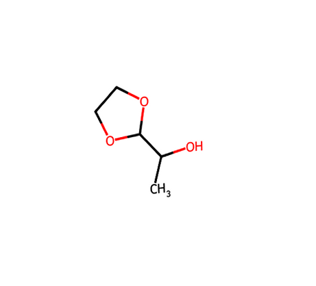 CC(O)C1OCCO1